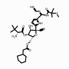 COC(C)(C)C(=O)N/C(=N/C=N)c1ccc([C@]2(C#N)O[C@H](COC(=O)CC3CCCCC3)[C@@H](OC(=O)[C@H](N)C(C)(C)C)[C@H]2O)[nH]1